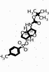 Cc1ccc(S(=O)(=O)O[C@@H]2CO[C@H]3[C@@H]2OC[C@@H]3NC(=O)OC(C)(C)C)cc1